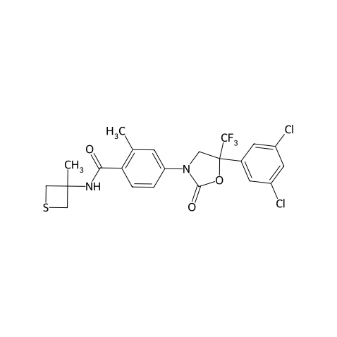 Cc1cc(N2CC(c3cc(Cl)cc(Cl)c3)(C(F)(F)F)OC2=O)ccc1C(=O)NC1(C)CSC1